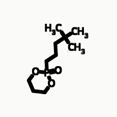 CC(C)(C)CCCP1(=O)OCCCO1